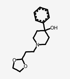 OC1(c2ccccc2)CCN(CCC2OCCO2)CC1